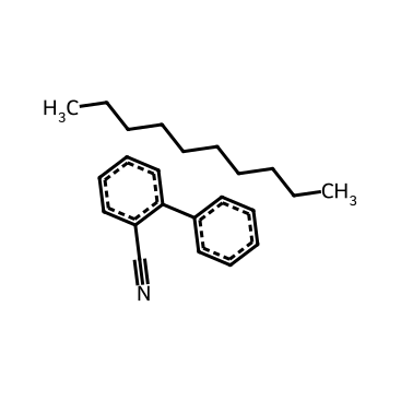 CCCCCCCCCC.N#Cc1ccccc1-c1ccccc1